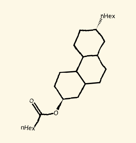 CCCCCCC(=O)O[C@H]1CCC2C(CCC3C[C@@H](CCCCCC)CCC32)C1